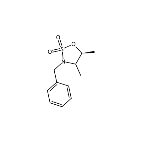 CC1[C@H](C)OS(=O)(=O)N1Cc1ccccc1